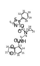 Cc1nc(OC(=O)N(CCNC(=O)c2cccc3c2OCCO3)C2CC2)c(-c2ccccc2)s1